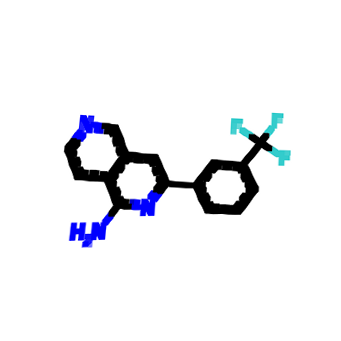 Nc1nc(-c2cccc(C(F)(F)F)c2)cc2cnccc12